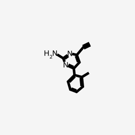 C#Cc1cc(-c2ccccc2C)nc(N)n1